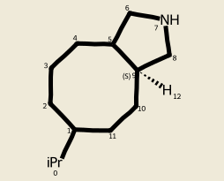 CC(C)C1CCCC2CNC[C@H]2CC1